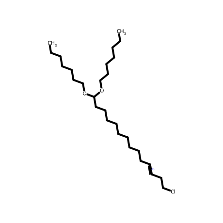 CCCCCCCOC(CCCCCCCCC/C=C/CCCl)OCCCCCCC